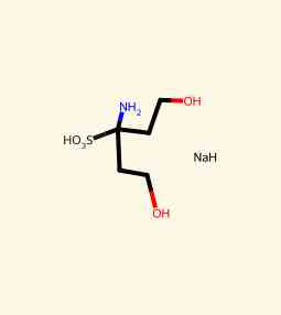 NC(CCO)(CCO)S(=O)(=O)O.[NaH]